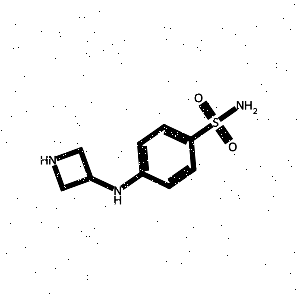 NS(=O)(=O)c1ccc(NC2CNC2)cc1